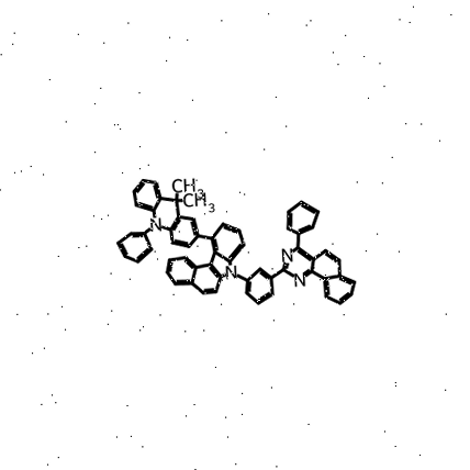 CC1(C)c2ccccc2N(c2ccccc2)c2ccc(-c3cccc4c3c3c5ccccc5ccc3n4-c3cccc(-c4nc(-c5ccccc5)c5ccc6ccccc6c5n4)c3)cc21